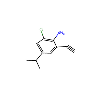 C#Cc1cc(C(C)C)cc(Cl)c1N